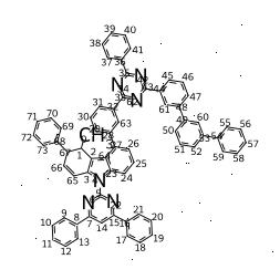 CC1c2c(n(-c3nc(-c4ccccc4)cc(-c4ccccc4)n3)c3cccc(-c4cccc(-c5nc(-c6ccccc6)nc(-c6cccc(-c7cccc(-c8ccccc8)c7)c6)n5)c4)c23)C=CC1c1ccccc1